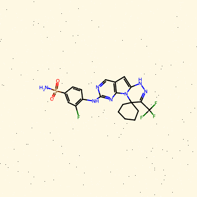 NS(=O)(=O)c1ccc(Nc2ncc3cc4n(c3n2)C2(CCCCC2)C(C(F)(F)F)=NN4)c(F)c1